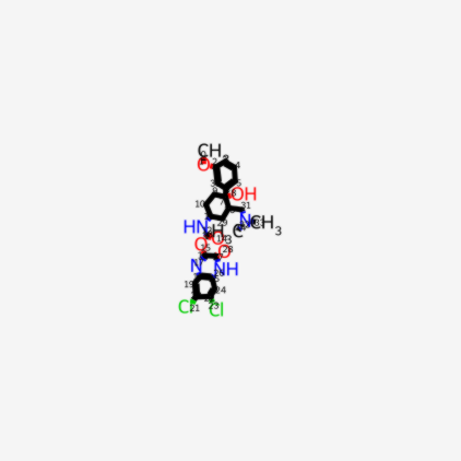 COc1cccc(C2(O)CCC(NC(=O)Oc3nc4cc(Cl)c(Cl)cc4[nH]c3=O)CC2CN(C)C)c1